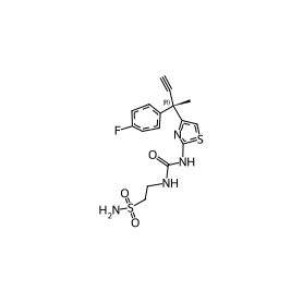 C#C[C@@](C)(c1ccc(F)cc1)c1csc(NC(=O)NCCS(N)(=O)=O)n1